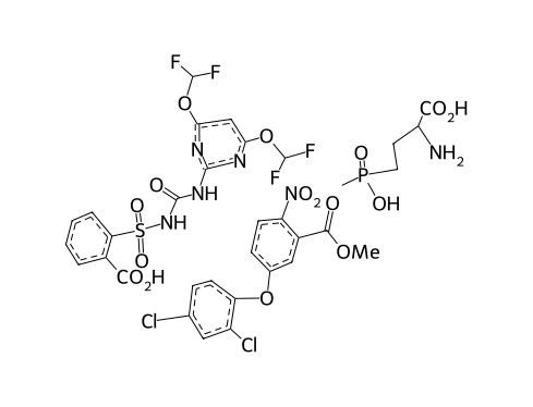 COC(=O)c1cc(Oc2ccc(Cl)cc2Cl)ccc1[N+](=O)[O-].CP(=O)(O)CCC(N)C(=O)O.O=C(Nc1nc(OC(F)F)cc(OC(F)F)n1)NS(=O)(=O)c1ccccc1C(=O)O